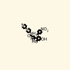 CN1CCC(N2CCC(NC(=O)c3cc(-c4c(O)cc(O)cc4Oc4ccc([N+](=O)[O-])cc4)on3)CC2)CC1